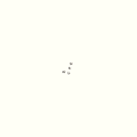 [Al].[B].[Li].[Si]